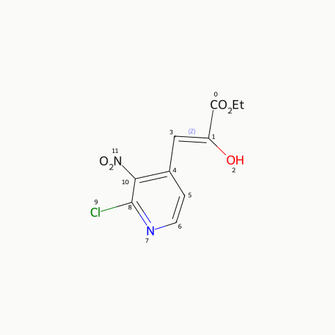 CCOC(=O)/C(O)=C/c1ccnc(Cl)c1[N+](=O)[O-]